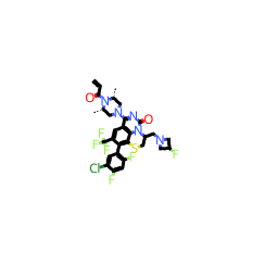 C=CC(=O)N1[C@H](C)CN(c2nc(=O)n3c4c(c(-c5cc(Cl)c(F)cc5F)c(C(F)(F)F)cc24)SCC3CN2CC(F)C2)C[C@@H]1C